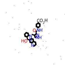 O=C(O)c1ccc(NC(=O)c2n[nH]cc2CNc2ccccc2C(O)c2ccc3cccnc3c2)cc1